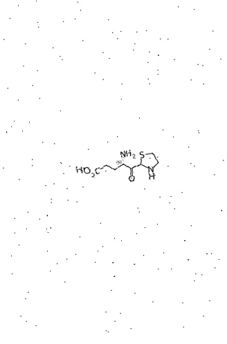 N[C@@H](CCC(=O)O)C(=O)C1NCCS1